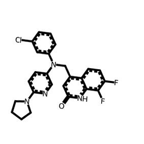 O=c1cc(CN(c2ccc(N3CCCC3)nc2)c2cccc(Cl)c2)c2ccc(F)c(F)c2[nH]1